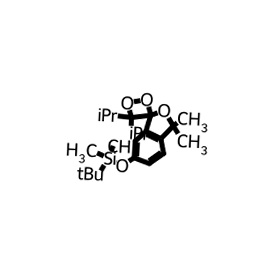 CC(C)C1(C(C)C)OOC12OC(C)(C)c1ccc(O[Si](C)(C)C(C)(C)C)cc12